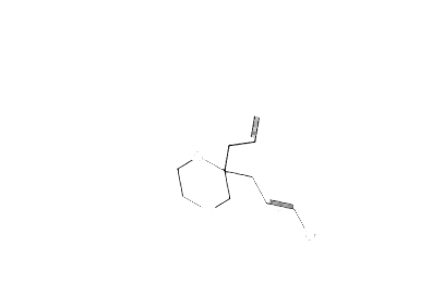 C=CCC1(C/C=C/CC)COCCO1